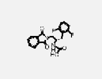 O=C(O)N[C@@H](Cc1c(F)cccc1F)CN1C(=O)c2ccccc2C1=O